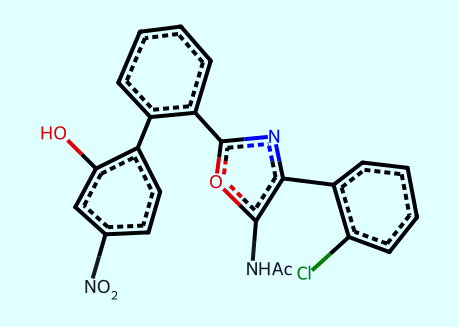 CC(=O)Nc1oc(-c2ccccc2-c2ccc([N+](=O)[O-])cc2O)nc1-c1ccccc1Cl